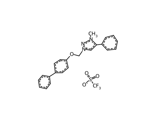 Cn1n[n+](COc2ccc(-c3ccccc3)cc2)cc1-c1ccccc1.O=S(=O)([O-])C(F)(F)F